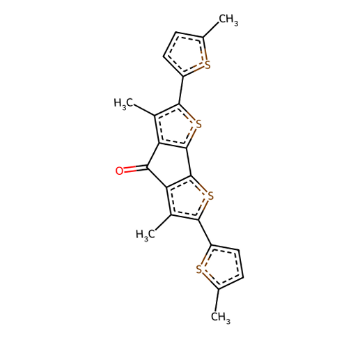 Cc1ccc(-c2sc3c(c2C)C(=O)c2c-3sc(-c3ccc(C)s3)c2C)s1